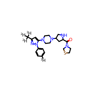 [2H]c1ccc(-n2nc(C([2H])([2H])[2H])cc2N2CCN(C3CNC(C(=O)N4CCSC4)C3)CC2)cc1